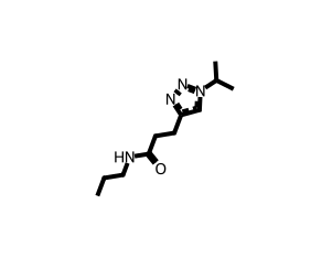 CCCNC(=O)CCc1cn(C(C)C)nn1